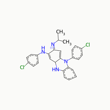 CC(C)/N=C1\C=C2C(C=C1Nc1ccc(Cl)cc1)Nc1ccccc1N2c1ccc(Cl)cc1